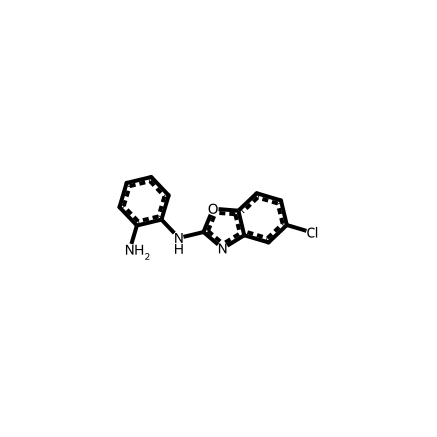 Nc1ccccc1Nc1nc2cc(Cl)ccc2o1